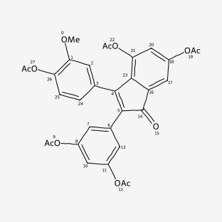 COc1cc(C2=C(c3cc(OC(C)=O)cc(OC(C)=O)c3)C(=O)c3cc(OC(C)=O)cc(OC(C)=O)c32)ccc1OC(C)=O